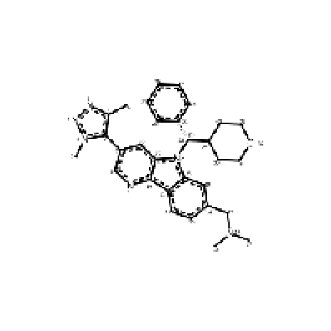 Cc1nnn(C)c1-c1cnc2c3ccc(CN(C)C)cc3n([C@H](c3ccccc3)C3CCOCC3)c2c1